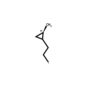 C[C@@H]1CC1CCI